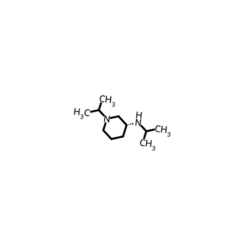 CC(C)N[C@@H]1CCCN(C(C)C)C1